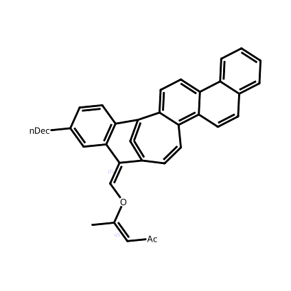 CCCCCCCCCCc1ccc2c(c1)/C(=C/O/C(C)=C\C(C)=O)C1=C=C2c2ccc3c(ccc4ccccc43)c2C=C1